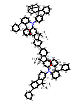 CC1(C)c2cc(-c3ccccc3)ccc2-c2ccc(N(c3ccc4c(c3)C(C)(C)c3cc(-c5ccc6c(c5)C(C)(C)c5cc(N(c7ccc8c(c7)C7(c9ccccc9-8)C8CC9CC(C8)CC7C9)c7cccc(-c8ccccc8)c7-c7ccccc7)ccc5-6)ccc3-4)c3cccc(-c4ccccc4)c3-c3ccccc3)cc21